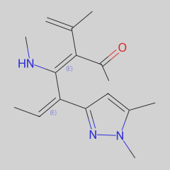 C=C(C)/C(C(C)=O)=C(NC)/C(=C\C)c1cc(C)n(C)n1